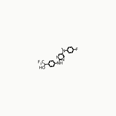 CN(c1ccc(F)cc1)c1cnc(Nc2ccc(C(O)C(F)(F)F)cc2)nc1